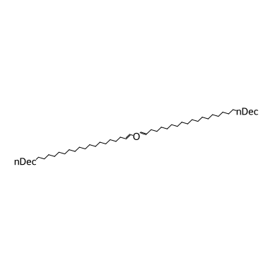 CCCCCCCCCCCCCCCCCCCCCCCCCCCC=COC=CCCCCCCCCCCCCCCCCCCCCCCCCCCC